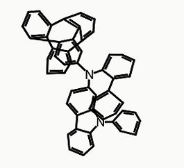 c1ccc(-c2ccccc2N(c2ccc3c(c2)-c2c4cccc2-c2cccc-3c2-c2ccccc2-4)c2ccc3c4ccccc4n(-c4ccccc4)c3c2)cc1